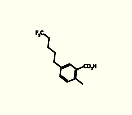 Cc1ccc(CCCCC(F)(F)F)cc1C(=O)O